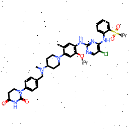 Cc1cc(Nc2ncc(Cl)c(Nc3ccccc3S(=O)(=O)C(C)C)n2)c(OC(C)C)cc1N1CCC(N(C)Cc2ccc(N3CCC(=O)NC3=O)cc2)CC1